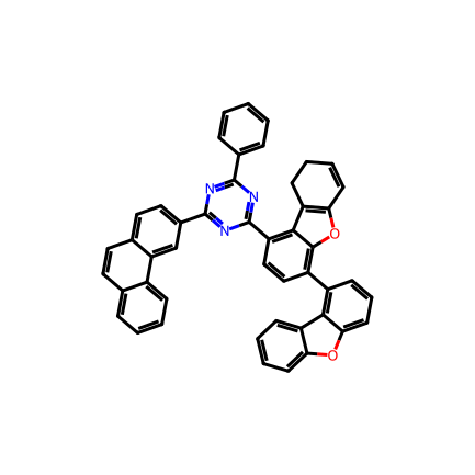 C1=Cc2oc3c(-c4cccc5oc6ccccc6c45)ccc(-c4nc(-c5ccccc5)nc(-c5ccc6ccc7ccccc7c6c5)n4)c3c2CC1